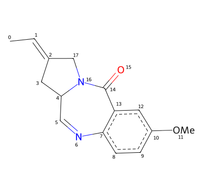 C/C=C1\CC2C=Nc3ccc(OC)cc3C(=O)N2C1